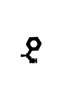 C[S@](=N)c1ccccc1